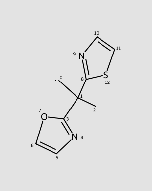 [CH2]C(C)(c1ncco1)c1nccs1